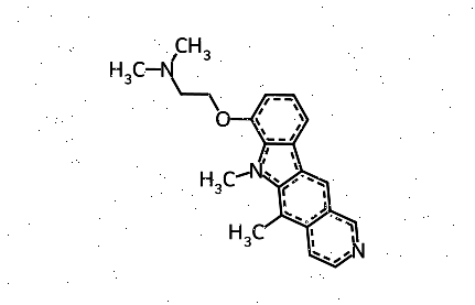 Cc1c2ccncc2cc2c3cccc(OCCN(C)C)c3n(C)c12